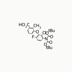 Cc1c(Oc2c(F)ccc(N(C(=O)OC(C)(C)C)C(=O)OC(C)(C)C)c2Cl)cccc1C(=O)O